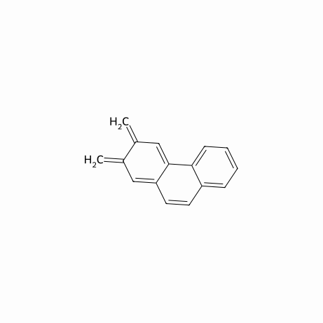 C=c1cc2ccc3ccccc3c2cc1=C